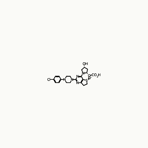 O=C(O)O[C@H]1C[C@@H](O)CN1c1nc(N2CCN(c3ccc(Cl)cc3)CC2)nc2c1[S+]([O-])CC2